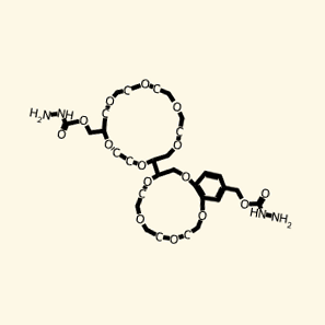 NNC(=O)OCc1ccc2c(c1)OCCOCCOCCOC(C1COCCOCCOCCOCC(COC(=O)NN)OCCO1)CO2